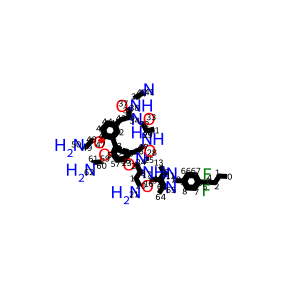 CCCC(F)(F)c1ccc(-c2nc(C)c(C(=O)NC(CCN)C(=O)N(C)C3C(=O)NC(C)C(=O)NC(C(=O)NCC#N)Cc4ccc(OCCN)c(c4)-c4cc3ccc4OCCN)c(C)n2)cc1